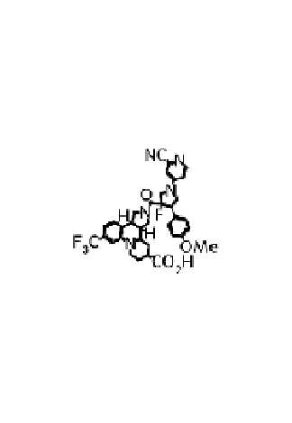 COc1ccc([C@@H]2CN(c3ccnc(C#N)c3)C[C@@]2(F)C(=O)N2C[C@@H]3c4ccc(C(F)(F)F)cc4N4CCC(C(=O)O)CC4[C@H]3C2)cc1